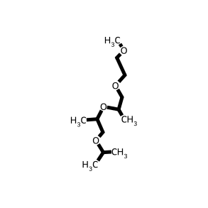 COCCOCC(C)OC(C)COC(C)C